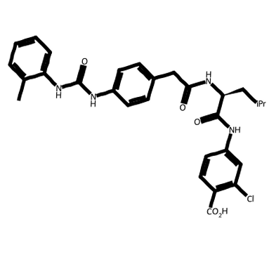 Cc1ccccc1NC(=O)Nc1ccc(CC(=O)N[C@@H](CC(C)C)C(=O)Nc2ccc(C(=O)O)c(Cl)c2)cc1